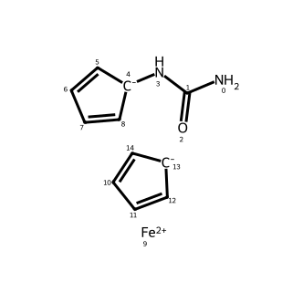 NC(=O)N[c-]1cccc1.[Fe+2].c1cc[cH-]c1